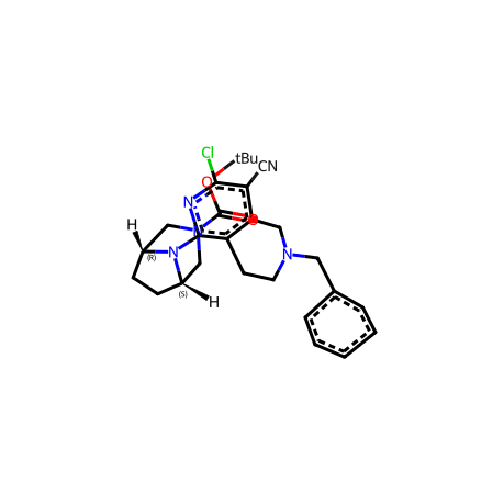 CC(C)(C)OC(=O)N1C[C@H]2CC[C@@H](C1)N2c1nc(Cl)c(C#N)c2c1CCN(Cc1ccccc1)C2